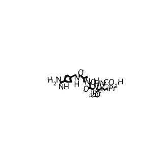 CC[C@H](C)C(NC(=O)[C@H](CC(C)C)NC(=O)O)C(=O)C(=O)N1CC(C(=O)NCc2ccc(C(=N)N)cc2)C1